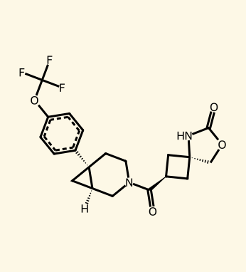 O=C1N[C@]2(CO1)C[C@H](C(=O)N1CC[C@]3(c4ccc(OC(F)(F)F)cc4)C[C@@H]3C1)C2